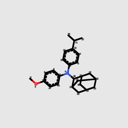 COc1ccc(N(c2ccc(C(C)C)cc2)C2C3CC4CC(C3)CC2C4)cc1